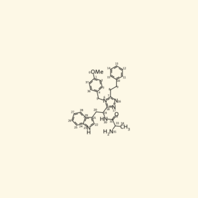 COc1ccc(Cn2c(CCc3ccccc3)nnc2C(Cc2c[nH]c3ccccc23)NC(=O)C(C)N)cc1